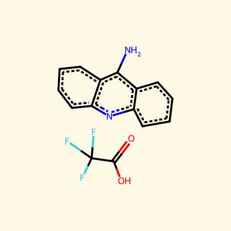 Nc1c2ccccc2nc2ccccc12.O=C(O)C(F)(F)F